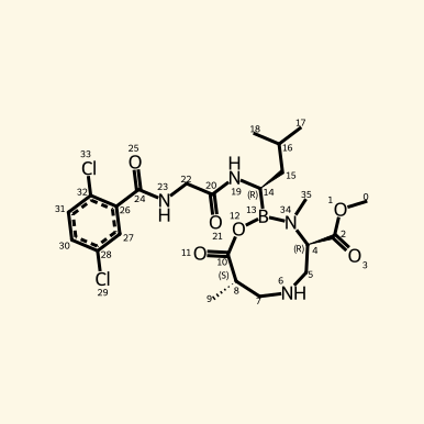 COC(=O)[C@H]1CNC[C@H](C)C(=O)OB([C@H](CC(C)C)NC(=O)CNC(=O)c2cc(Cl)ccc2Cl)N1C